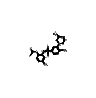 Cc1ccc(OC(F)F)c(NS(=O)(=O)c2ccc(C)c(N3CCNC(C)C3)c2)c1